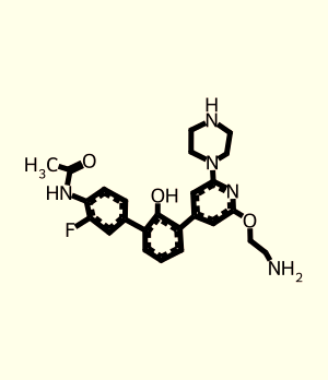 CC(=O)Nc1ccc(-c2cccc(-c3cc(OCCN)nc(N4CCNCC4)c3)c2O)cc1F